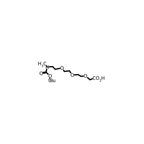 CN(CCOCCOCCOCC(=O)O)C(=O)OC(C)(C)C